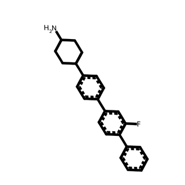 NC1CCC(c2ccc(-c3ccc(-c4ccccc4)c(F)c3)cc2)CC1